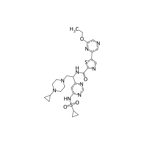 CCOc1cncc(-c2cnc(C(=O)NC(CN3CCN(C4CC4)CC3)c3cc(NS(=O)(=O)C4CC4)ncn3)s2)n1